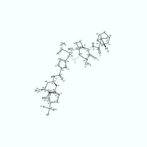 CC(=O)O[C@H](C[C@H](C(C)C)N(C)C(=O)[C@@H](NC(=O)[C@H]1CC2CCN1CC2)C1CSC1)c1nc(C(=O)N[C@@H](Cc2ncc(C(F)(F)F)cn2)C[C@H](C)C(=O)O)cs1